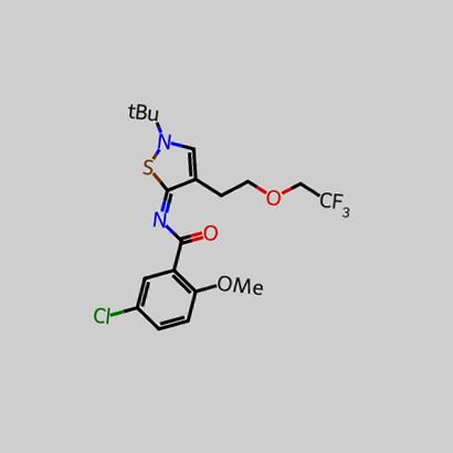 COc1ccc(Cl)cc1C(=O)N=c1sn(C(C)(C)C)cc1CCOCC(F)(F)F